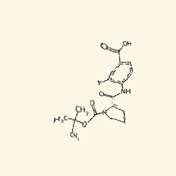 CC(C)(C)OC(=O)N1CCC[C@H]1C(=O)Nc1ccc(C(=O)O)cc1F